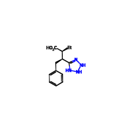 CC[C@H](C(=O)O)[C@H](Cc1ccccc1)C1=NNNN1